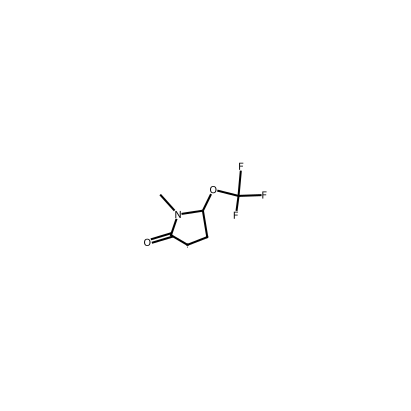 CN1C(=O)[CH]CC1OC(F)(F)F